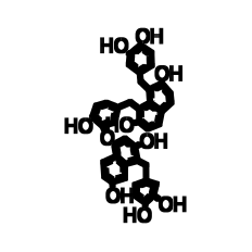 Oc1ccc2c(Oc3cc(Cc4c(O)ccc5ccc(O)c(Cc6ccc(O)c(O)c6)c45)ccc3O)cc(O)c(Cc3ccc(O)c(O)c3)c2c1